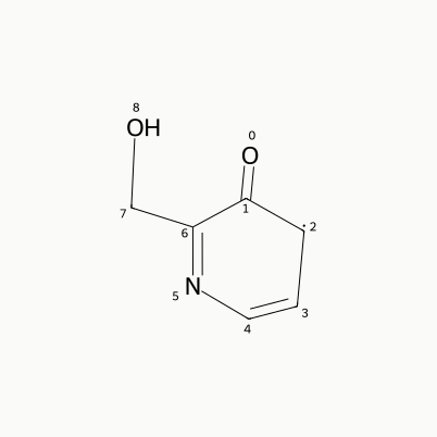 O=C1[CH]C=CN=C1CO